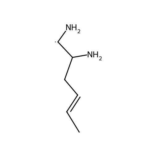 CC=CCC(N)[CH]N